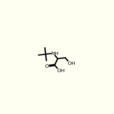 CC(C)(C)NC(CO)C(=O)O